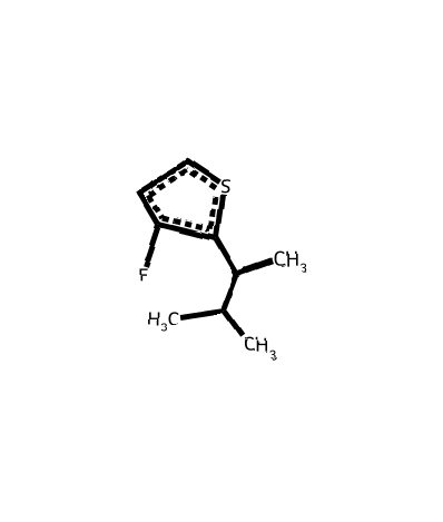 CC(C)C(C)c1sccc1F